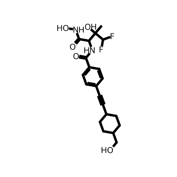 CC(O)(C(F)F)C(NC(=O)c1ccc(C#CC2CCC(CO)CC2)cc1)C(=O)NO